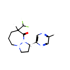 Cc1cnc([C@H]2CCN3CCCC(C)(C(F)F)C(=O)N23)cn1